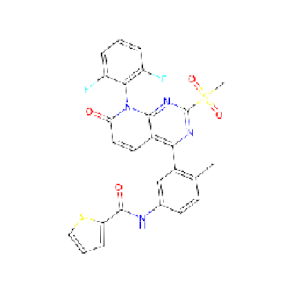 Cc1ccc(NC(=O)c2cccs2)cc1-c1nc(S(C)(=O)=O)nc2c1ccc(=O)n2-c1c(F)cccc1F